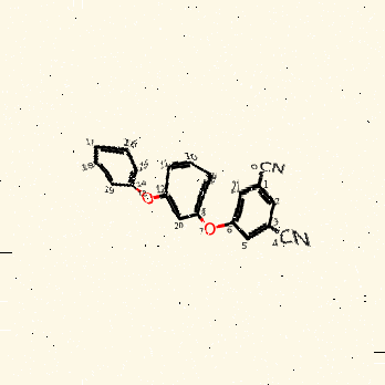 N#Cc1cc(C#N)cc(Oc2cccc(Oc3ccccc3)c2)c1